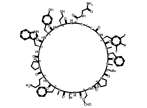 CCCC[C@H]1C(=O)N2CCC[C@@H]2C(=O)N[C@@H](COC=O)C(=O)N[C@@H](C(C)C)C(=O)N(C)[C@@H](Cc2ccccc2)C(=O)N[C@@H](CCCN)C(=O)N2CCC[C@@H]2C(=O)N[C@@H](Cc2c[nH]c3ccccc23)C(=O)N[C@@H](Cc2ccc(O)cc2)C(=O)N[C@@H](CCO)C(=O)N[C@H](C(=O)NCC(N)=O)CSCC(=O)N[C@@H](Cc2cc(F)c(F)c(F)c2)C(=O)N(C)[C@@H](Cc2ccccc2)C(=O)N1C